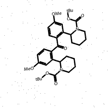 COc1ccc(C(=O)c2ccc(OC)cc2C2CCCCN2C(=O)OC(C)(C)C)c(C2CCCCN2C(=O)OC(C)(C)C)c1